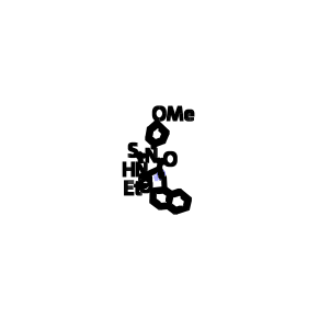 CCOc1ccc2ccccc2c1/C=C1\C(=O)NC(=S)N(c2ccc(OC)cc2)C1=O